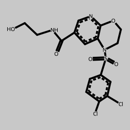 O=C(NCCO)c1cnc2c(c1)N(S(=O)(=O)c1ccc(Cl)c(Cl)c1)CCO2